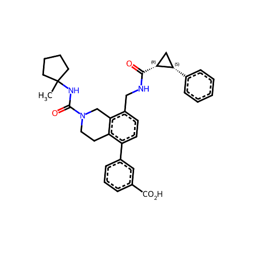 CC1(NC(=O)N2CCc3c(-c4cccc(C(=O)O)c4)ccc(CNC(=O)[C@@H]4C[C@@H]4c4ccccc4)c3C2)CCCC1